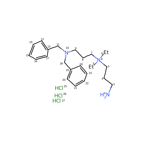 CC[N+](CC)(CCCN)CCCN(Cc1ccccc1)Cc1ccccc1.Cl.Cl.Cl